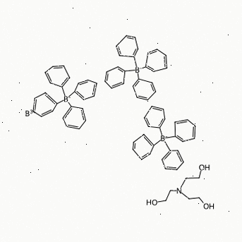 OCCN(CCO)CCO.[B+3].c1ccc([B-](c2ccccc2)(c2ccccc2)c2ccccc2)cc1.c1ccc([B-](c2ccccc2)(c2ccccc2)c2ccccc2)cc1.c1ccc([B-](c2ccccc2)(c2ccccc2)c2ccccc2)cc1